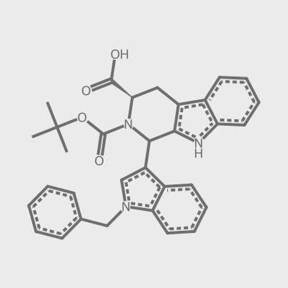 CC(C)(C)OC(=O)N1C(c2cn(Cc3ccccc3)c3ccccc23)c2[nH]c3ccccc3c2C[C@@H]1C(=O)O